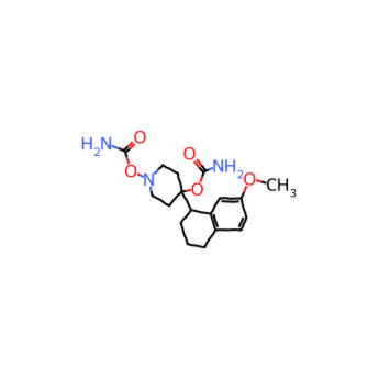 COc1ccc2c(c1)C(C1(OC(N)=O)CCN(OC(N)=O)CC1)CCC2